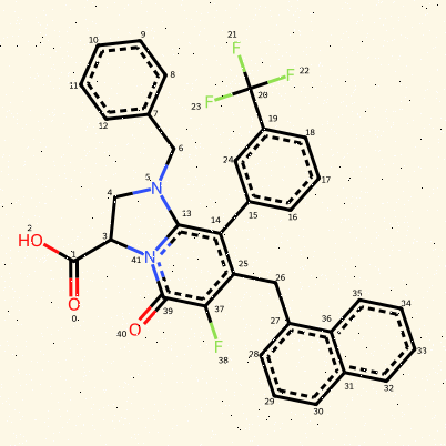 O=C(O)C1CN(Cc2ccccc2)c2c(-c3cccc(C(F)(F)F)c3)c(Cc3cccc4ccccc34)c(F)c(=O)n21